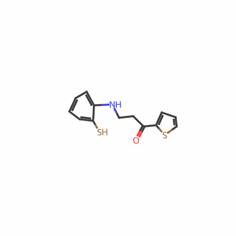 O=C(CCNc1ccccc1S)c1cccs1